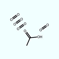 CC(=O)O.O=O.O=O.O=O.O=O